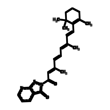 CC1=C(/C=C/C(C)=C/C=C/C(C)=C/C(=O)n2sc3ncccc3c2=O)C(C)(C)CCC1